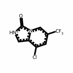 O=c1[nH]cc2c(Cl)cc(C(F)(F)F)cn12